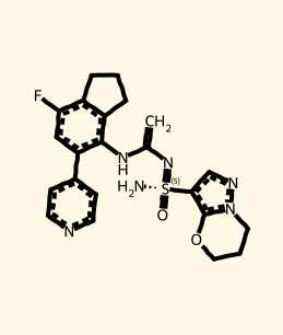 C=C(N=[S@](N)(=O)c1cnn2c1OCCC2)Nc1c(-c2ccncc2)cc(F)c2c1CCC2